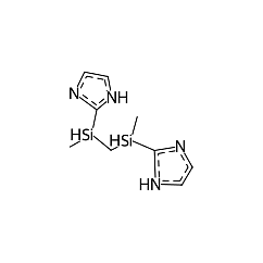 C[SiH](C[SiH](C)c1ncc[nH]1)c1ncc[nH]1